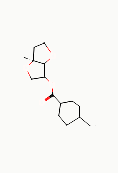 CC(C)C1CCC(C(=O)OC2CO[C@@H]3CCOC23)CC1